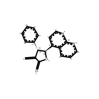 C=C1C(=O)O[C@H](c2ccnc3ncccc23)[C@H]1c1ccccc1